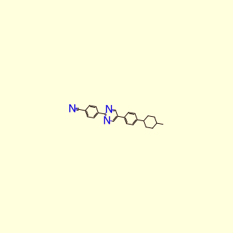 CC1CCC(c2ccc(-c3cnc(-c4ccc(C#N)cc4)nc3)cc2)CC1